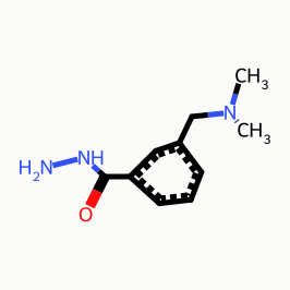 CN(C)Cc1cccc(C(=O)NN)c1